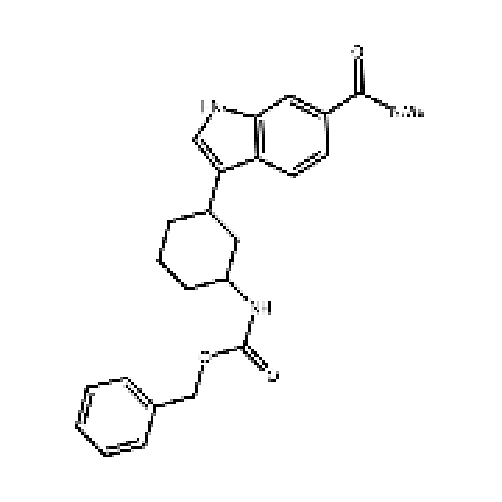 CNC(=O)c1ccc2c(C3CCCC(NC(=O)OCc4ccccc4)C3)c[nH]c2c1